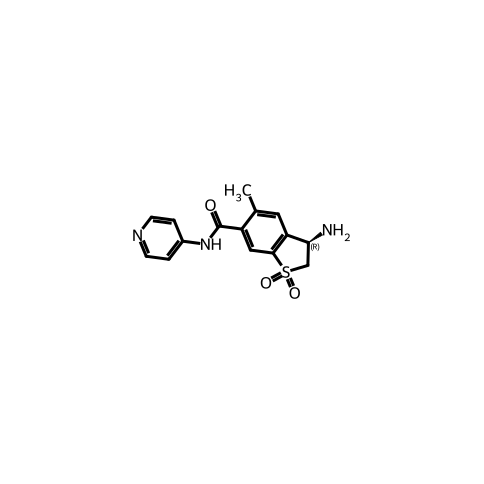 Cc1cc2c(cc1C(=O)Nc1ccncc1)S(=O)(=O)C[C@@H]2N